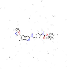 Cc1ncc(-c2ccc3cnc(NCC4CCC(NC(=O)OC(C)(C)C)CC4)cc3c2)o1